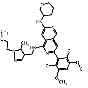 COCCN1N=CC(CNc2nc(-c3c(Cl)c(OC)cc(OC)c3Cl)cc3cnc(NC4CCCOC4)cc23)C1C